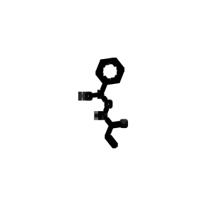 C=CC(=O)NOB(O)c1ccccc1